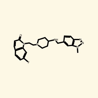 Cn1nnc2ccc(CNC3CCN(CCn4c(=O)ccc5ccc(F)cc54)CC3)cc21